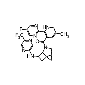 CC1=CC(C(=O)N2CC3CC34CC(Nc3cnc(C(F)(F)F)cn3)C24)=C(c2ncc(F)cn2)NC1